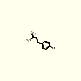 C=C(N)CCc1ccc(CC)cc1